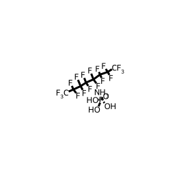 FC(F)(F)C(F)(F)C(F)(F)C(F)(F)C(F)(F)C(F)(F)C(F)(F)C(F)(F)F.N.O=P(O)(O)O